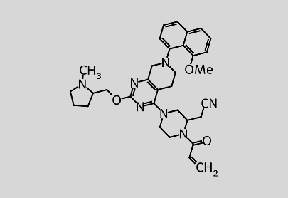 C=CC(=O)N1CCN(c2nc(OCC3CCCN3C)nc3c2CCN(c2cccc4cccc(OC)c24)C3)CC1CC#N